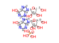 O=P(O)(O)O.OC[C@H]1O[C@@H](n2cnc3c(O)ncnc32)[C@H](O)[C@@H]1O.OC[C@H]1O[C@@H](n2cnc3c(O)ncnc32)[C@H](O)[C@@H]1O